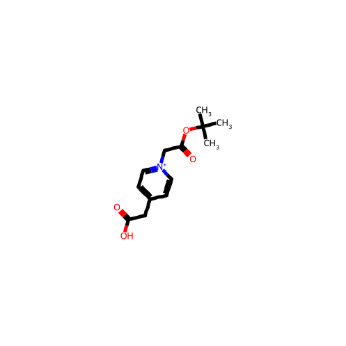 CC(C)(C)OC(=O)C[n+]1ccc(CC(=O)O)cc1